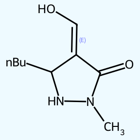 CCCCC1NN(C)C(=O)/C1=C/O